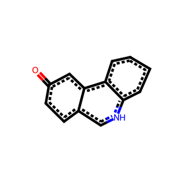 O=c1ccc2c[nH]c3ccccc3c-2c1